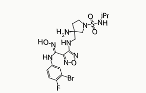 CC(C)NS(=O)(=O)N1CC[C@@](N)(CNc2nonc2/C(=N/O)Nc2ccc(F)c(Br)c2)C1